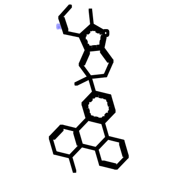 C/C=C\c1c(C)oc2c1=CC(C)(c1ccc3c(c1)C1=C(C(C)CC=C1)C1C=CC=CC31)CC=2